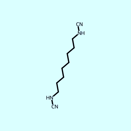 N#CNCCCCCCCCNC#N